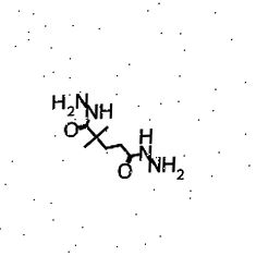 CC(C)(CCC(=O)NN)C(=O)NN